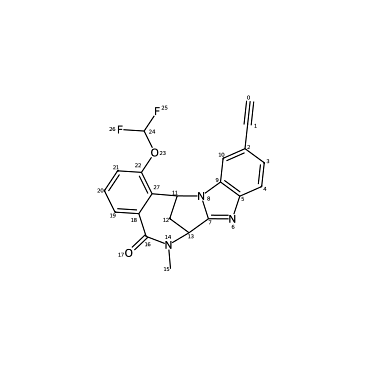 C#Cc1ccc2nc3n(c2c1)C1CC3N(C)C(=O)c2cccc(OC(F)F)c21